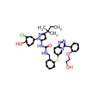 CCC(C)(C)c1cc(NC(=O)NCc2ccccc2Sc2ccc3nnc(-c4ccccc4OCCO)n3c2)n(-c2ccc(O)c(Cl)c2)n1